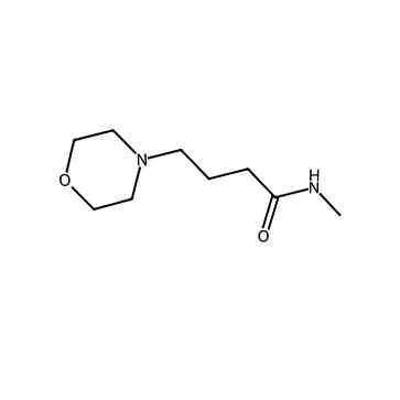 CNC(=O)CCCN1CCOCC1